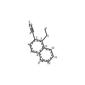 CCc1c(C#N)ccc2ncccc12